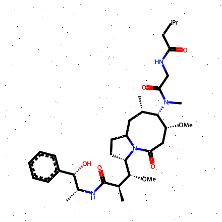 CO[C@H]([C@@H](C)C(=O)N[C@H](C)[C@@H](O)c1ccccc1)[C@@H]1CCC2C[C@H](C)[C@H](N(C)C(=O)CNC(=O)CC(C)C)[C@H](OC)CC(=O)N21